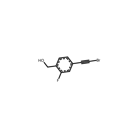 OCc1ccc(C#CBr)cc1F